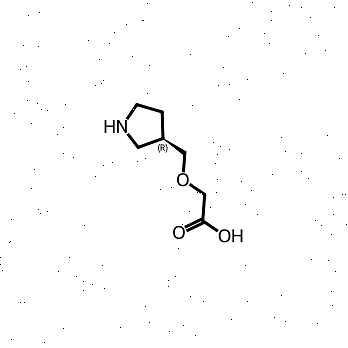 O=C(O)COC[C@@H]1CCNC1